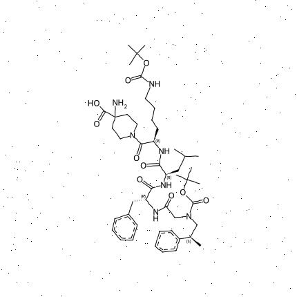 CC(C)C[C@@H](NC(=O)[C@@H](Cc1ccccc1)NC(=O)CN(C[C@@H](C)c1ccccc1)C(=O)OC(C)(C)C)C(=O)N[C@H](CCCCNC(=O)OC(C)(C)C)C(=O)N1CCC(N)(C(=O)O)CC1